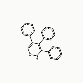 C1=C(c2ccccc2)C(c2ccccc2)=C(c2ccccc2)NO1